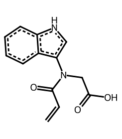 C=CC(=O)N(CC(=O)O)c1c[nH]c2ccccc12